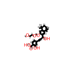 COCCOCOc1cc2c(cc1C(O)C#Cc1ccc(C(=O)O)c(O)c1)C(C)(C)CCC2(C)C